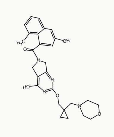 Cc1cccc2cc(O)cc(C(=O)N3Cc4nc(OCC5(CN6CCOCC6)CC5)nc(O)c4C3)c12